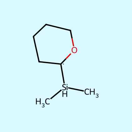 C[SiH](C)[C]1CCCCO1